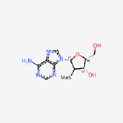 CSC1[C@@H](O)[C@@H](CO)O[C@H]1n1cnc2c(N)ncnc21